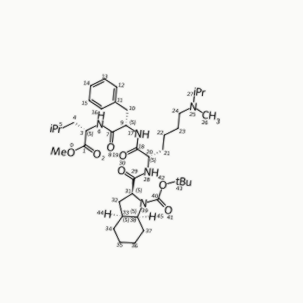 COC(=O)[C@H](CC(C)C)NC(=O)[C@H](Cc1ccccc1)NC(=O)[C@H](CCCCN(C)C(C)C)NC(=O)[C@@H]1C[C@@H]2CCCC[C@@H]2N1C(=O)OC(C)(C)C